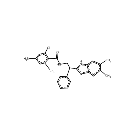 Cc1cc2nc(C(CNC(=O)c3c(Cl)cc(N)cc3C(F)(F)F)c3ccccc3)[nH]c2cc1C